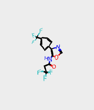 O=C(CC(F)(F)F)Nc1ocnc1-c1ccc(C(F)(F)F)cc1